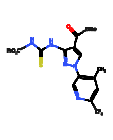 CCOC(=O)NC(=S)Nc1nn(-c2cnc(C(F)(F)F)cc2C)cc1C(=O)OC